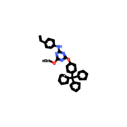 C=Cc1ccc(Nc2nc(OCCCCCCCC)nc(Oc3ccc(C(c4ccccc4)(c4ccccc4)c4ccccc4)cc3)n2)cc1